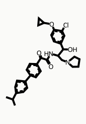 CC(C)c1ccc(-c2ccc(C(=O)C(=O)NC(CN3CCCC3)C(O)c3ccc(OC4CC4)c(Cl)c3)cc2)cc1